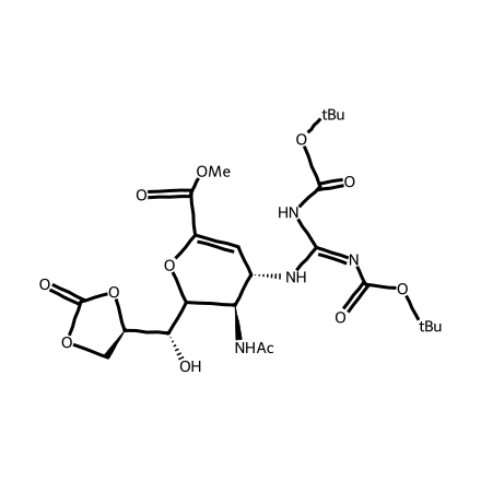 COC(=O)C1=C[C@H](N/C(=N\C(=O)OC(C)(C)C)NC(=O)OC(C)(C)C)[C@@H](NC(C)=O)C([C@H](O)[C@H]2COC(=O)O2)O1